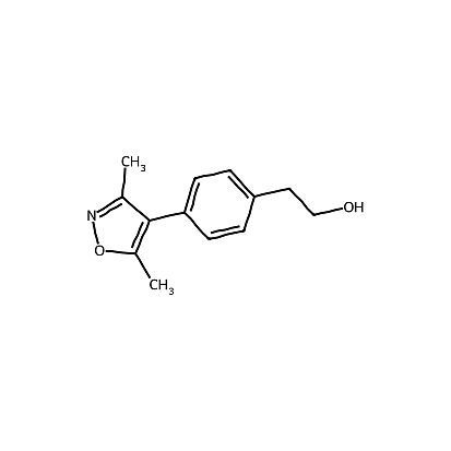 Cc1noc(C)c1-c1ccc(CCO)cc1